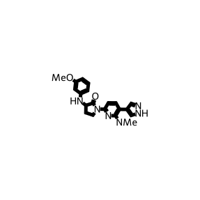 CNc1nc(N2CCC(Nc3cccc(OC)c3)C2=O)ccc1-c1cn[nH]c1